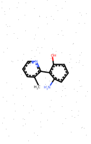 Cc1cccnc1-c1c(N)cccc1O